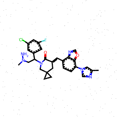 Cc1cn(-c2ccc(/C=C3\CC4(CC4)CN(C(CN(C)N)c4cc(F)cc(Cl)c4)C3=O)c3ncoc23)cn1